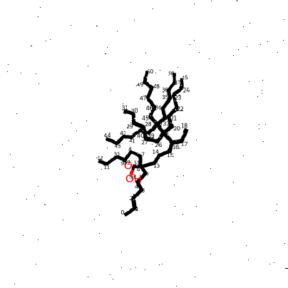 CCCCCCC(CCCCCC)(CCCC(CC)C(CCCCCC)(CCCCCC)C(CCCCCC)(CCCCCC)CCCCCC)C(=O)O